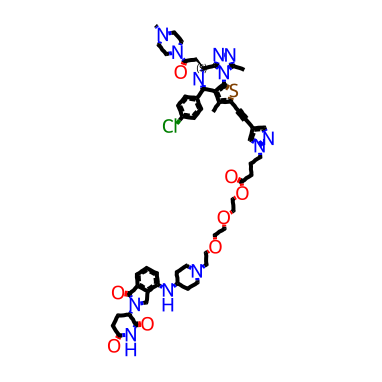 Cc1c(C#Cc2cnn(CCCC(=O)OCCOCCOCCN3CCC(Nc4cccc5c4CN(C4CCC(=O)NC4=O)C5=O)CC3)c2)sc2c1C(c1ccc(Cl)cc1)=N[C@@H](CC(=O)N1CCN(C)CC1)c1nnc(C)n1-2